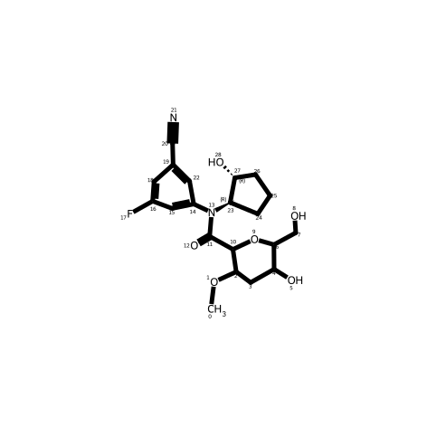 COC1CC(O)C(CO)OC1C(=O)N(c1cc(F)cc(C#N)c1)[C@@H]1CCC[C@H]1O